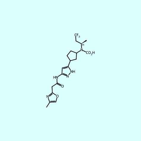 Cc1coc(CC(=O)Nc2cc(C3CCC(N(C(=O)O)[C@H](C)CC(F)(F)F)C3)[nH]n2)n1